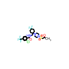 CC(=O)CS(=O)(=O)N1CCN(C2(CNC(=O)c3ccc(C(F)(F)F)cc3Cl)CCC(F)(F)CC2)CC1